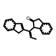 CC=C(C1=Cc2ccccc2C1)C1C(=O)Cc2ccccc21